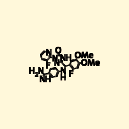 COc1cc(F)c(C(Nc2ccc(C(=N)N)cc2)c2nn(-c3ncccc3F)c(=O)[nH]2)cc1OC